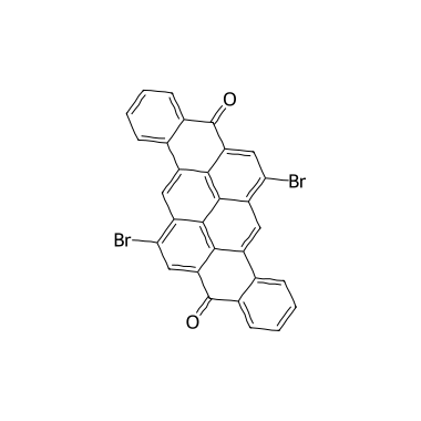 O=c1c2ccccc2c2cc3c(Br)cc4c(=O)c5ccccc5c5cc6c(Br)cc1c2c6c3c45